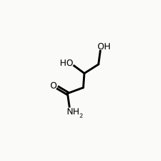 NC(=O)CC(O)CO